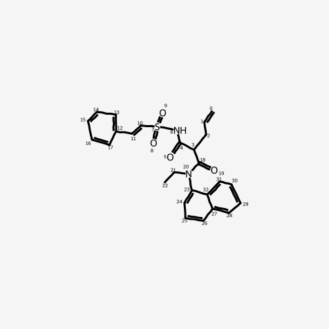 C=CCC(C(=O)NS(=O)(=O)C=Cc1ccccc1)C(=O)N(CC)c1cccc2ccccc12